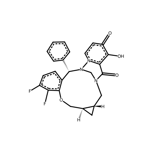 O=C1c2c(O)c(=O)ccn2N2CN1C[C@@H]1C[C@H]1COc1c(ccc(F)c1F)[C@@H]2c1ccccc1